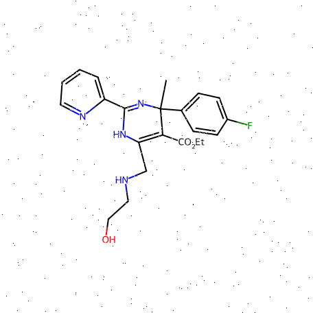 CCOC(=O)C1=C(CNCCO)NC(c2ccccn2)=NC1(C)c1ccc(F)cc1